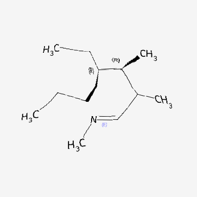 CCC[C@@H](CC)[C@@H](C)C(C)/C=N/C